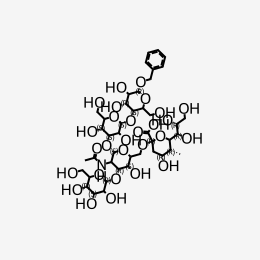 CC(=O)NC1[C@H](O[C@@H]2C(O)[C@H](O[C@@H]3C(CO)O[C@@H](OCc4ccccc4)C(O)[C@H]3O)OC(CO)[C@@H]2O)OC(CO[C@]2(C(=O)O)C[C@@H](O)[C@@H](C)C([C@H](O)[C@H](O)CO)O2)[C@@H](O)[C@@H]1O[C@@H]1OC(CO)[C@H](O)[C@H](O)C1O